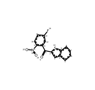 O=C(c1cc2ccccc2s1)c1cc(F)ccc1[N+](=O)[O-]